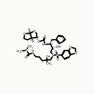 CN(C)C(=O)NCCCC(C)(C)CN(C[C@@H](O)[C@H](Cc1ccccc1)NC(=O)O[C@H]1CO[C@H]2OCC[C@H]21)S(=O)(=O)c1ccc2c(c1)OCO2